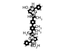 Cc1nc(C2CCCN2C(=O)C(NC(=O)O)c2ccccc2)[nH]c1-c1ccc(-c2ccc(-c3[nH]c([C@@H]4CCCN4C(=O)[C@H](NC(=O)O)c4ccccc4)nc3C)c(C)c2C)cc1